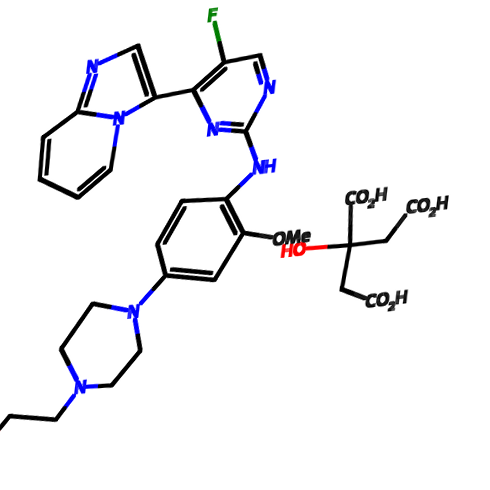 COc1cc(N2CCN(CCO)CC2)ccc1Nc1ncc(F)c(-c2cnc3ccccn23)n1.O=C(O)CC(O)(CC(=O)O)C(=O)O